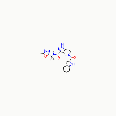 Cc1nnc(C2(N(C)C(=O)c3n[nH]c4c3CN(C(=O)c3cc5ccccc5[nH]3)CC4)CC2)o1